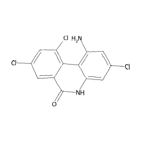 Nc1cc(Cl)cc2[nH]c(=O)c3cc(Cl)cc(Cl)c3c12